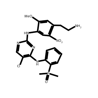 COc1cc(CCN)c([N+](=O)[O-])cc1Nc1ncc(Cl)c(Nc2ccccc2P(C)(C)=O)n1